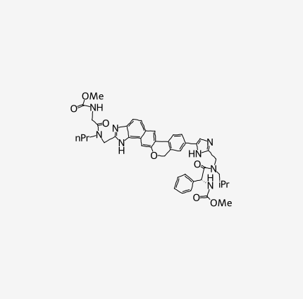 CCCN(Cc1nc2ccc3cc4c(cc3c2[nH]1)OCc1cc(-c2cnc(CN(CC(C)C)C(=O)[C@H](NC(=O)OC)c3ccccc3)[nH]2)ccc1-4)C(=O)CNC(=O)OC